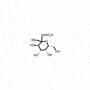 CCCCC1(OS(=O)(=O)O)O[C@H](CO)[C@H](O)[C@H](O)[C@H]1O